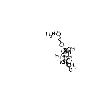 C[C@]12C=CC(=O)C=C1CC[C@@H]1[C@@H]2[C@@H](O)C[C@@]2(C)[C@H]1C[C@H]1O[C@@H](c3ccc(SCc4cccc(N)c4)cc3)O[C@]12C(=O)CO